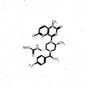 COC(=O)NC[C@@H]1CN(c2nc(=O)n(C)c3ccc(Cl)nc23)[C@@H](C)CN1C(C)c1ccc(C(F)(F)F)cc1